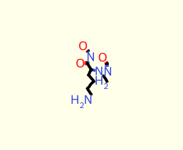 CCN=C=O.NCCCCC(N)C(=O)N=C=O